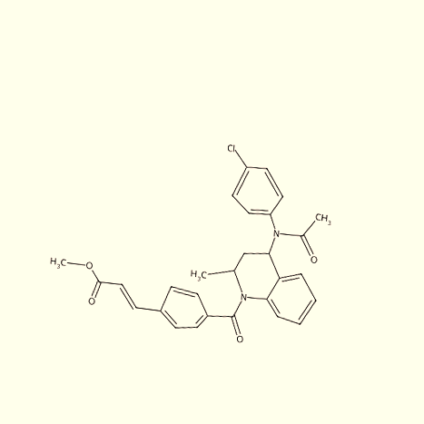 COC(=O)C=Cc1ccc(C(=O)N2c3ccccc3C(N(C(C)=O)c3ccc(Cl)cc3)CC2C)cc1